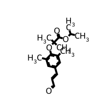 Cc1cc(/C=C/C=O)cc(C)c1OC(C)(C)C(=O)OC(C)C